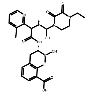 CCN1CCN(C(O)NC(C(=O)N[C@H]2Cc3cccc(C(=O)O)c3OB2O)c2ncccc2F)C(=O)C1=O